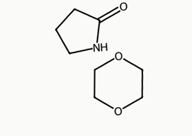 C1COCCO1.O=C1CCCN1